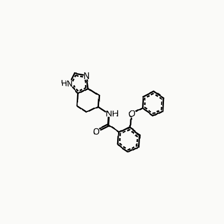 O=C(NC1CCc2[nH]cnc2C1)c1ccccc1Oc1ccccc1